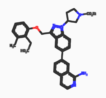 CCOC(=O)N1CCC(n2nc(COc3cccc(C)c3CC(=O)O)c3cc(-c4ccc5ccnc(N)c5c4)ccc32)C1